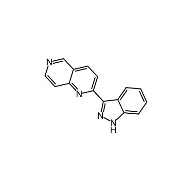 c1ccc2c(-c3ccc4cnccc4n3)n[nH]c2c1